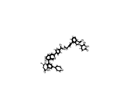 C[C@@H]1CC(=O)Nc2cc(C3CCOCC3)cc(-c3cccc4cc(-c5ccc(C(=O)NCCC#Cc6cccc7c6CN(C6CCC(=O)NC6=O)C7=O)nc5)ncc34)c2N1